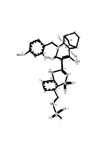 COc1ccc(CN2C(=O)C(C3=NS(=O)(=O)c4c(CNS(C)(=O)=O)csc4N3)=C(O)[C@@H]3C4CCC(CC4)[C@@H]32)c(OC)c1